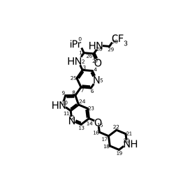 CC(C)C(Nc1cncc(-c2c[nH]c3ncc(OCC4CCNCC4)cc23)c1)C(=O)NCC(F)(F)F